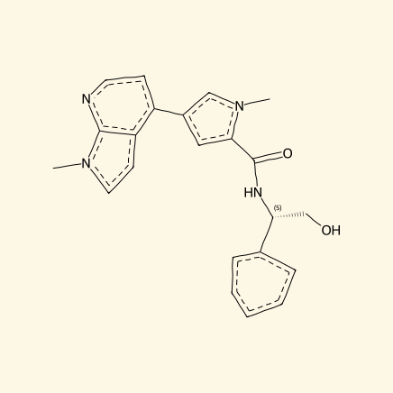 Cn1cc(-c2ccnc3c2ccn3C)cc1C(=O)N[C@H](CO)c1ccccc1